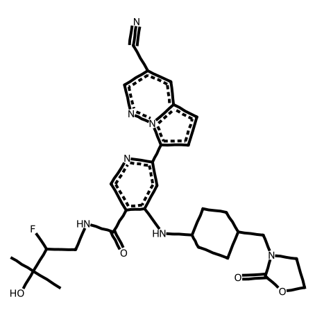 CC(C)(O)C(F)CNC(=O)c1cnc(-c2ccc3cc(C#N)cnn23)cc1NC1CCC(CN2CCOC2=O)CC1